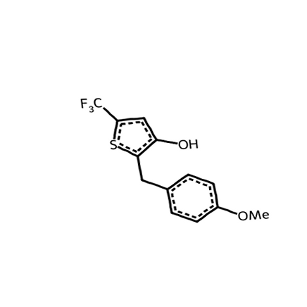 COc1ccc(Cc2sc(C(F)(F)F)cc2O)cc1